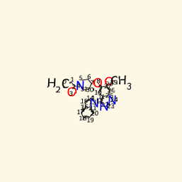 C=CC(=O)N1CCC(Oc2cc3c(-n4ccc5ccccc54)ncnc3cc2OC)CC1